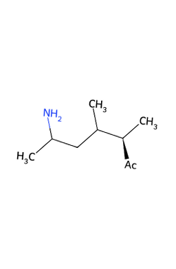 CC(=O)[C@H](C)C(C)CC(C)N